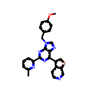 COc1ccc(Cn2cnc3c(-c4csc5cnccc45)nc(-c4cccc(C)n4)nc32)cc1